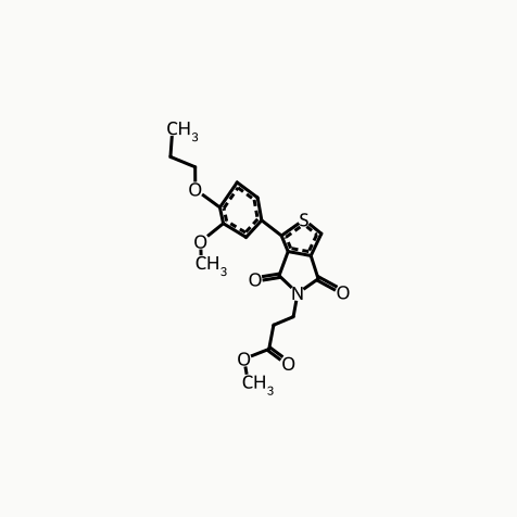 CCCOc1ccc(-c2scc3c2C(=O)N(CCC(=O)OC)C3=O)cc1OC